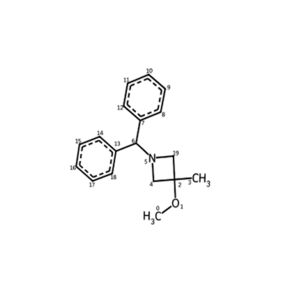 COC1(C)CN(C(c2ccccc2)c2ccccc2)C1